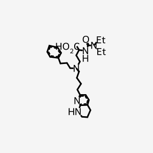 CCN(CC)C(=O)NC(CCN(CCCCc1ccc2c(n1)NCCC2)CCCc1ccccc1)C(=O)O